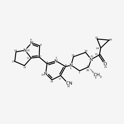 C[C@@H]1CN(c2nc(-c3cnn4c3CCC4)ncc2C#N)CCN1C(=O)C1CC1